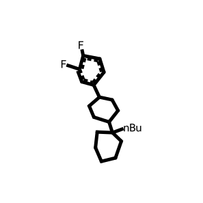 CCCCC1(C2CCC(c3ccc(F)c(F)c3)CC2)CCCCC1